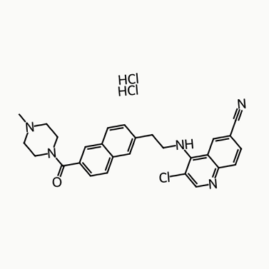 CN1CCN(C(=O)c2ccc3cc(CCNc4c(Cl)cnc5ccc(C#N)cc45)ccc3c2)CC1.Cl.Cl